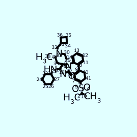 CC(C)S(=O)(=O)C1=CC=C(c2ccccc2N2C(=O)N=C(NC3CCCCC3)[C@]23CCN(CC2CCC2)[C@@H](C)C3)CC1